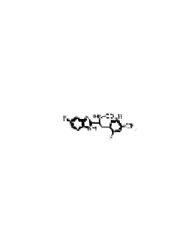 O=C(O)NC(Cc1ccc(C(F)(F)F)cc1F)c1nc2cc(F)ccc2[nH]1